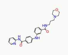 O=C(NCCCN1CCOCC1)c1cccc(Nc2ccc(C(=O)Nc3ccccn3)cc2)c1